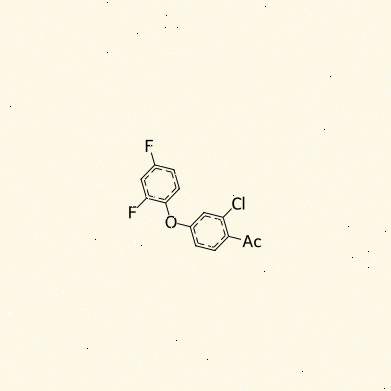 CC(=O)c1ccc(Oc2ccc(F)cc2F)cc1Cl